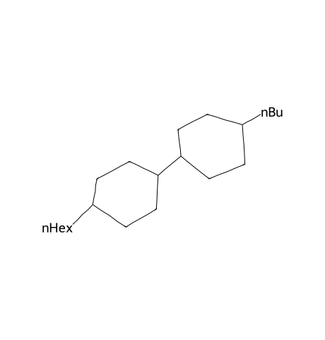 CCCCCCC1CCC(C2CCC(CCCC)CC2)CC1